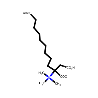 CCCCCCCCCCCCCCCCCCC(CC(=O)O)(C(=O)[O-])[N+](C)(C)C